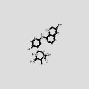 CC1C(=N)N[C@H](c2cc(Nc3nccc4cc(F)cnc34)ncc2F)CS1(=O)=O